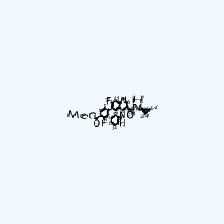 COC(=O)c1ccc(-c2cc3c(Nc4ccccc4)c(C(=O)NC4CC4)cnc3cc2F)cc1F